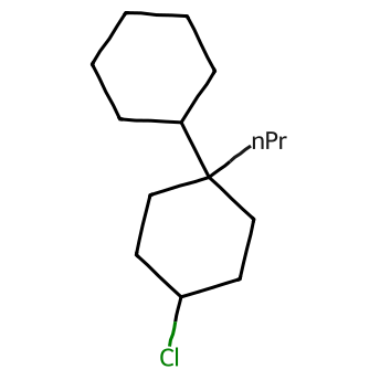 CCCC1(C2CCCCC2)CCC(Cl)CC1